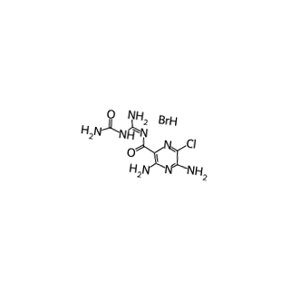 Br.NC(=O)N/C(N)=N\C(=O)c1nc(Cl)c(N)nc1N